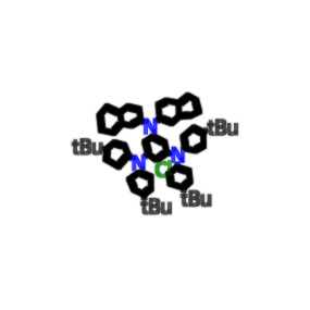 CC(C)(C)c1ccc(N(c2ccc(C(C)(C)C)cc2)c2cc(N(c3ccc4ccccc4c3)c3ccc4ccccc4c3)cc(N(c3ccc(C(C)(C)C)cc3)c3ccc(C(C)(C)C)cc3)c2Cl)cc1